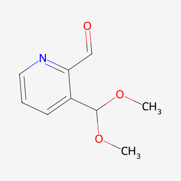 COC(OC)c1cccnc1C=O